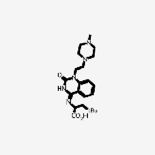 CN1CCN(CCn2c(=O)[nH]/c(=N/C(CC(C)(C)C)C(=O)O)c3ccccc32)CC1